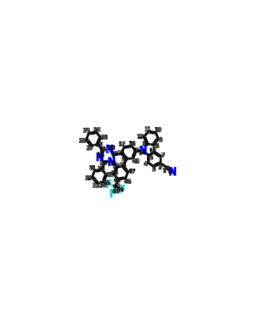 N#Cc1ccc2c(c1)c1ccccc1n2-c1ccc(-c2nc(-c3ccccc3)nc(-c3ccccc3)n2)c(-c2ccc(C(F)(F)F)cc2)c1